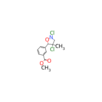 COC(=O)c1cccc(C2ON(Cl)CC2(C)Cl)c1